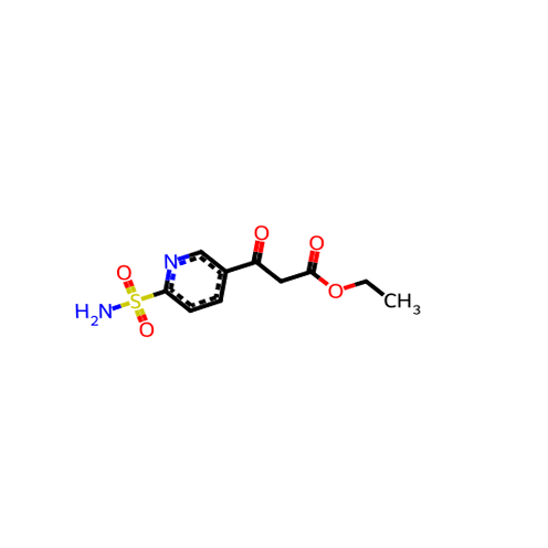 CCOC(=O)CC(=O)c1ccc(S(N)(=O)=O)nc1